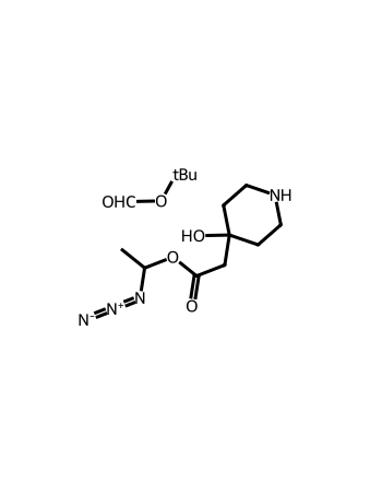 CC(C)(C)OC=O.CC(N=[N+]=[N-])OC(=O)CC1(O)CCNCC1